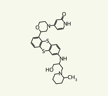 CC1CCCCN1CC(CO)Nc1ccc2c(c1)Sc1cccc(C3CN(c4cc[nH]c(=O)c4)CCO3)c1S2